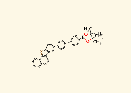 CC1(C)OB(c2ccc(-c3ccc(-c4ccc5sc6c7ccccc7ccc6c5c4)cc3)cc2)OC1(C)C